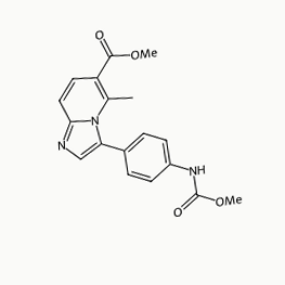 COC(=O)Nc1ccc(-c2cnc3ccc(C(=O)OC)c(C)n23)cc1